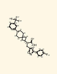 O=C(O)N(Cc1nc(-c2ccc(F)cc2)no1)C1CC2(CCN(c3cc(C(F)(F)F)ccn3)CC2)C1